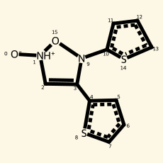 [O-][NH+]1C=C(c2cccs2)N(c2cccs2)O1